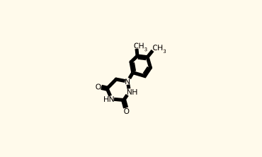 Cc1ccc(N2CC(=O)NC(=O)N2)cc1C